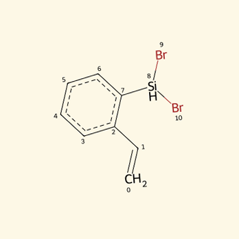 C=Cc1ccccc1[SiH](Br)Br